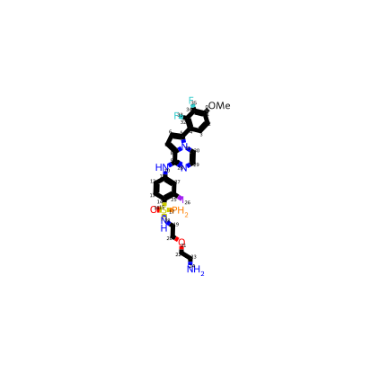 COc1ccc(-c2ccc3c(Nc4ccc([SH](=O)(P)NCCOCCN)c(I)c4)nccn23)c(F)c1F